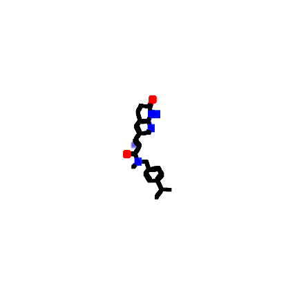 CC(C)c1ccc(CN(C)C(=O)/C=C/c2cnc3c(c2)CCC(=O)N3)cc1